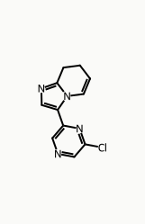 Clc1cncc(-c2cnc3n2C=CCC3)n1